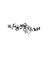 CCOC(=O)[C@H]1CC[C@H](N2CCN(c3ccc(C4(C)CCNCC4)cc3)C2=O)CC1.Cl